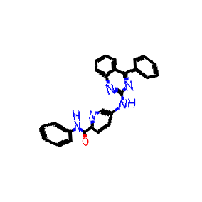 O=C(Nc1ccccc1)c1ccc(Nc2nc(-c3ccccc3)c3ccccc3n2)cn1